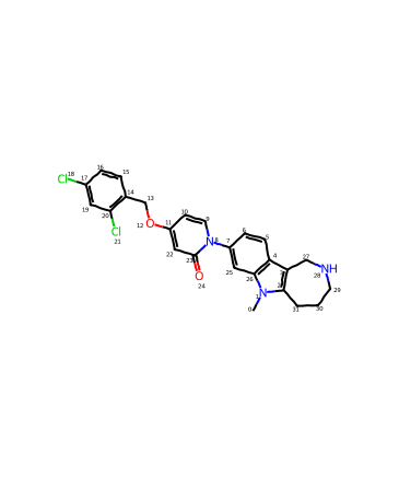 Cn1c2c(c3ccc(-n4ccc(OCc5ccc(Cl)cc5Cl)cc4=O)cc31)CNCCC2